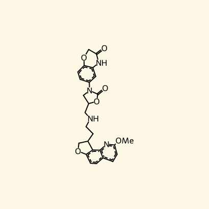 COc1ccc2ccc3c(c2n1)C(CCNCC1CN(c2ccc4c(c2)NC(=O)CO4)C(=O)O1)CO3